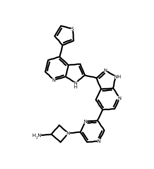 NC1CN(c2cncc(-c3cnc4[nH]nc(-c5cc6c(-c7ccsc7)ccnc6[nH]5)c4c3)n2)C1